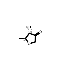 C[C@@H]1OCC(=O)[C@H]1N